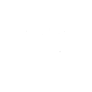 CC(C)(C)OO.CC(C)O.CC(C)O.CC(C)O.CC(C)O.[Ti]